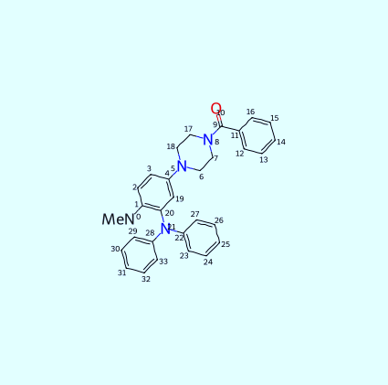 CNc1ccc(N2CCN(C(=O)c3ccccc3)CC2)cc1N(c1ccccc1)c1ccccc1